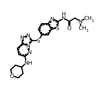 CN(C)CC(=O)Nc1nc2ccc(Sc3nnc4ccc(NC5CCOCC5)nn34)cc2s1